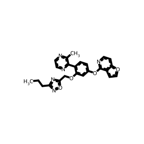 CCCc1noc(COc2cc(Oc3nccc4occc34)ccc2-c2nccnc2C)n1